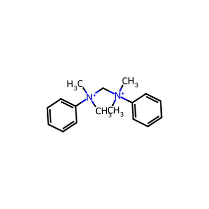 C[N+](C)(C[N+](C)(C)c1ccccc1)c1ccccc1